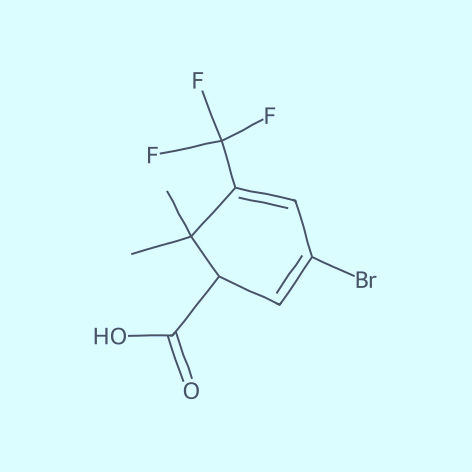 CC1(C)C(C(F)(F)F)=CC(Br)=CC1C(=O)O